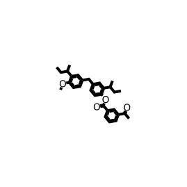 CCC(C)c1cc(Cc2ccc(OC(=O)c3cccc(C(C)=O)c3)c(C(C)CC)c2)ccc1OC